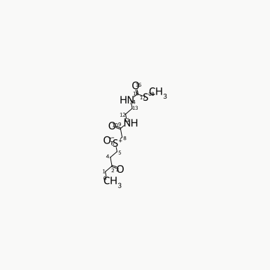 CCC(=O)CC[S+]([O-])CC(=O)NCCNC(=O)SC